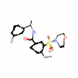 COc1ccc(C(=O)N[C@H](C)c2cccc(Cl)c2)cc1S(=O)(=O)N1CCOCC1